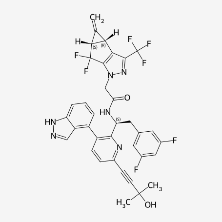 C=C1[C@@H]2c3c(C(F)(F)F)nn(CC(=O)N[C@@H](Cc4cc(F)cc(F)c4)c4nc(C#CC(C)(C)O)ccc4-c4cccc5[nH]ncc45)c3C(F)(F)[C@H]12